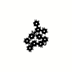 c1ccc(-c2cc(-c3ccccc3)cc(-c3nc4ccccc4n3-c3ccc(-c4cccc5oc6ccc(-c7ccc8c(c7)c7ccccc7n8-c7ccccc7)cc6c45)cc3)c2)cc1